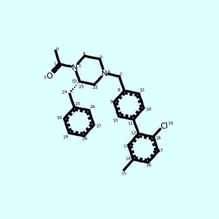 CC(=O)N1CCN(Cc2ccc(-c3cc(C)ccc3Cl)cc2)C[C@@H]1Cc1ccccc1